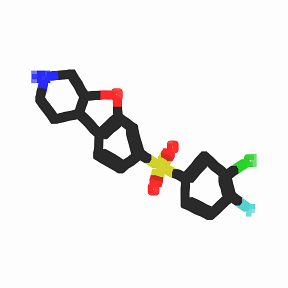 O=S(=O)(c1ccc(F)c(Cl)c1)c1ccc2c(c1)OC1CNCCC21